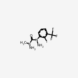 CN(N)C(=O)N(N)c1cccc(C(F)(F)F)c1I